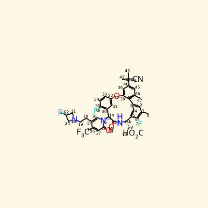 Cc1cc2cc(c1F)[C@H](CC(=O)O)NC(=O)[C@@H](n1cc(CCN3CC(F)C3)c(C(F)(F)F)cc1=O)c1cc(ccc1F)Oc1cc(C(C)(C)C#N)cc(C)c1-2